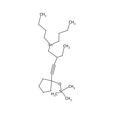 CCC[CH2][Sn]([CH2]CCC)[CH2]C(C#CC1(O[Si](C)(C)C)CCCC1)CC